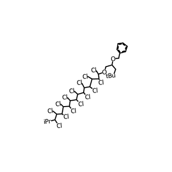 CC(C)C(Cl)C(Cl)C(Cl)C(Cl)C(Cl)C(Cl)C(Cl)C(Cl)C(Cl)C(Cl)C(Cl)C(Cl)C(Cl)C(Cl)OCC(CC(C)(C)C)OCc1ccccc1